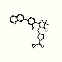 CC1(C)N=C(c2ccc(-c3ccc4cccnc4c3)cc2F)N(CC2CCN(C(=O)C3CC3)C2)C1=O